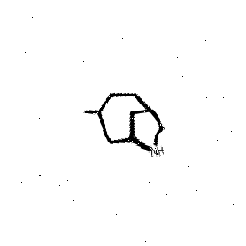 CC1CCC2CNC(C1)C2